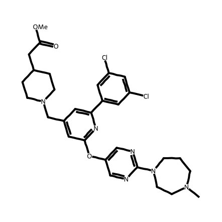 COC(=O)CC1CCN(Cc2cc(Oc3cnc(N4CCCN(C)CC4)nc3)nc(-c3cc(Cl)cc(Cl)c3)c2)CC1